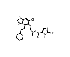 CCc1ncc(C(=O)OC(C)CCc2c(Cl)cc3c(c2CCC2CCCCC2)OCO3)[nH]1